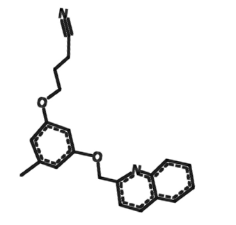 Cc1cc(OCCCC#N)cc(OCc2ccc3ccccc3n2)c1